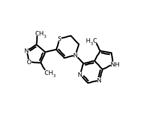 Cc1noc(C)c1C1=CN(c2ncnc3[nH]cc(C)c23)CCS1